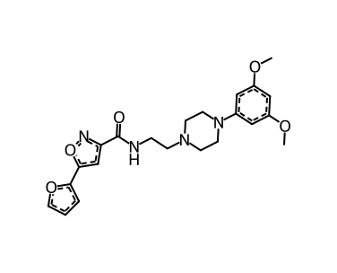 COc1cc(OC)cc(N2CCN(CCNC(=O)c3cc(-c4ccco4)on3)CC2)c1